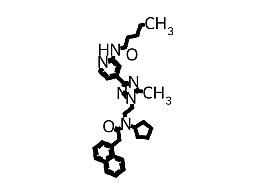 CCCCC(=O)Nc1cc(-c2nc(C)n(CCN(C(=O)Cc3cccc4ccccc34)C3CCCC3)n2)ccn1